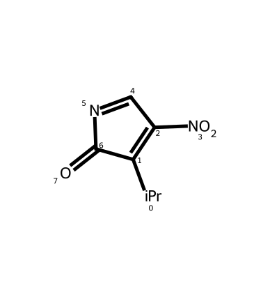 CC(C)C1=C([N+](=O)[O-])C=NC1=O